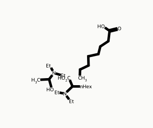 CCCCCCC(C(=O)O)N(CC)CC.CCCCCCCC(=O)O.CCN(CC)C(C)O